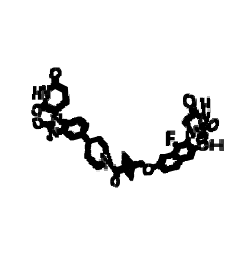 Cn1c(=O)n(C2CCC(=O)NC2=O)c2ccc(C3CCN(C(=O)C45CC4(COc4ccc6cc(O)c(N7CC(=O)NS7(=O)=O)c(F)c6c4)C5)CC3)cc21